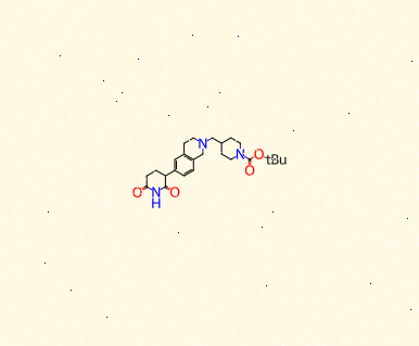 CC(C)(C)OC(=O)N1CCC(CN2CCc3cc(C4CCC(=O)NC4=O)ccc3C2)CC1